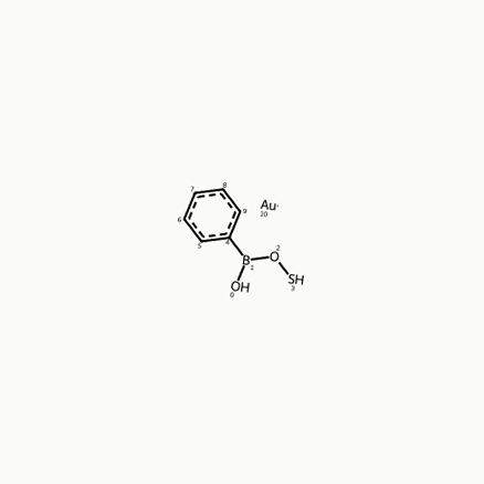 OB(OS)c1ccccc1.[Au]